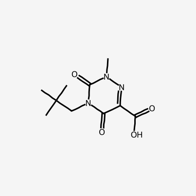 Cn1nc(C(=O)O)c(=O)n(CC(C)(C)C)c1=O